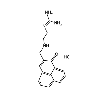 Cl.NC(N)=NCCNCC1=Cc2cccc3cccc(c23)C1=O